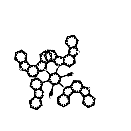 N#Cc1c(-c2cccc3c2sc2ccccc23)c(-n2c3ccccc3c3c4c(ccc32)oc2ccccc24)c(-n2c3ccccc3c3c4c(ccc32)oc2ccccc24)c(C#N)c1-n1c2ccccc2c2c3c(ccc21)oc1ccccc13